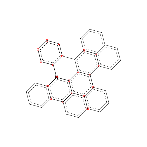 c1ccc(-c2ccccc2-c2c(-c3ccccc3)cccc2-c2ccccc2N(c2cccc(-c3cccc4ccccc34)c2)c2ccccc2-c2ccccc2)cc1